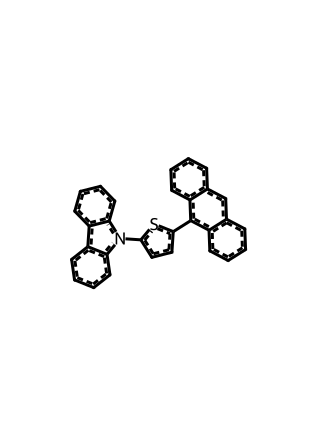 c1ccc2c(-c3ccc(-n4c5ccccc5c5ccccc54)s3)c3ccccc3cc2c1